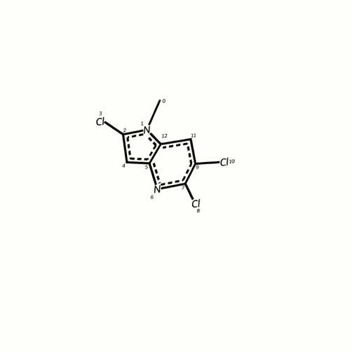 Cn1c(Cl)cc2nc(Cl)c(Cl)cc21